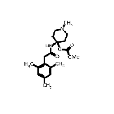 COC(=O)OC1(NC(=O)Cc2c(C)cc(C)cc2C)CCN(C)CC1